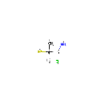 CC(C)(S)CN.Cl